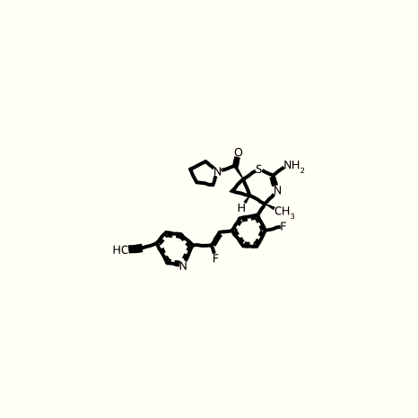 C#Cc1ccc(/C(F)=C/c2ccc(F)c([C@@]3(C)N=C(N)S[C@@]4(C(=O)N5CCCC5)C[C@H]43)c2)nc1